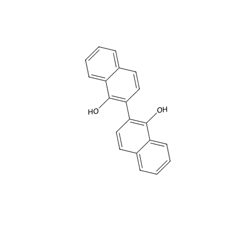 Oc1c(-c2ccc3ccccc3c2O)ccc2ccccc12